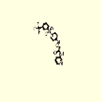 O=C(CON=C1CCN(S(=O)(=O)c2cccc(C(F)(F)F)c2)CC1)Nc1cccnc1